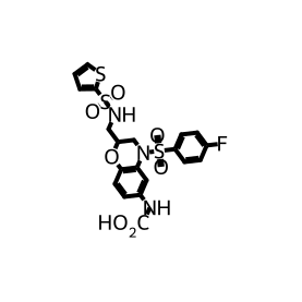 O=C(O)Nc1ccc2c(c1)N(S(=O)(=O)c1ccc(F)cc1)CC(CNS(=O)(=O)c1cccs1)O2